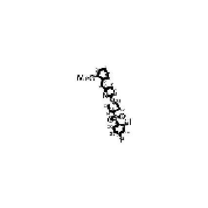 COc1ccccc1Cc1csc(N2CCC(S(=O)(=O)c3ccc(F)cc3Cl)CC2)n1